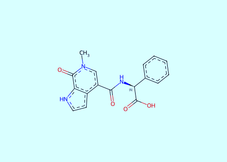 Cn1cc(C(=O)N[C@H](C(=O)O)c2ccccc2)c2cc[nH]c2c1=O